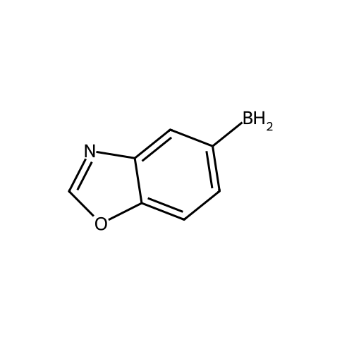 Bc1ccc2ocnc2c1